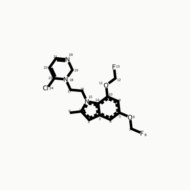 Cc1cc2cc(OCF)cc(OCF)c2n1CCN1CN=CC=C1Cl